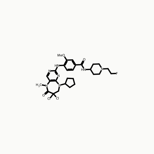 COc1cc(C(=O)NC2CCN(CCF)CC2)ccc1Nc1ncc2c(n1)N(C1CCCC1)CC(Cl)(Cl)C(=O)N2C